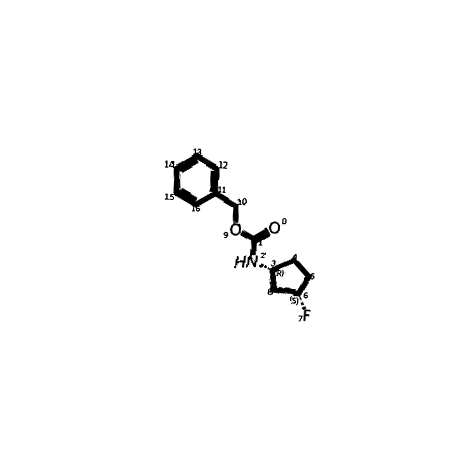 O=C(N[C@@H]1CC[C@H](F)C1)OCc1ccccc1